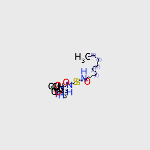 CC/C=C\C/C=C\C/C=C\C/C=C\C/C=C\CCCC(=O)NCCSSCCNC(=O)CCNC(=O)[C@H](OI)C(C)(C)CC